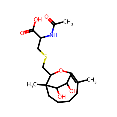 CC(=O)NC(CSCC1O/C2=C(/C)CCCCC1(C)C(O)C2O)C(=O)O